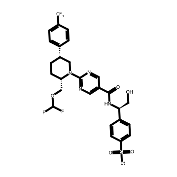 CCS(=O)(=O)c1ccc([C@H](CO)NC(=O)c2cnc(N3C[C@@H](c4ccc(C(F)(F)F)cc4)CC[C@H]3COC(F)F)nc2)cc1